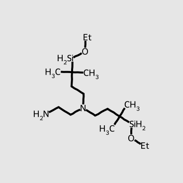 CCO[SiH2]C(C)(C)CCN(CCN)CCC(C)(C)[SiH2]OCC